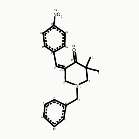 CC1(C)CN(Cc2ccccc2)C/C(=C/c2ccc([N+](=O)[O-])cc2)C1=O